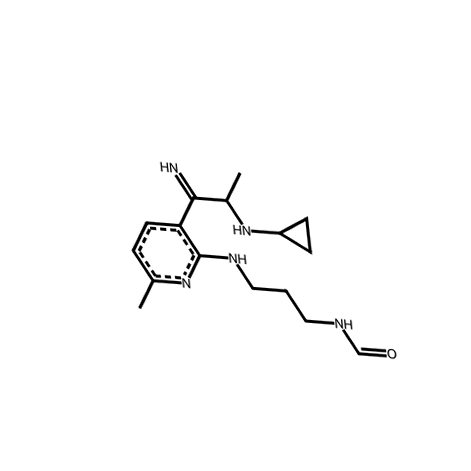 Cc1ccc(C(=N)C(C)NC2CC2)c(NCCCNC=O)n1